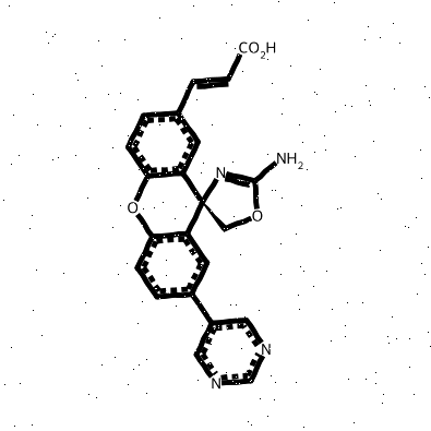 NC1=N[C@@]2(CO1)c1cc(C=CC(=O)O)ccc1Oc1ccc(-c3cncnc3)cc12